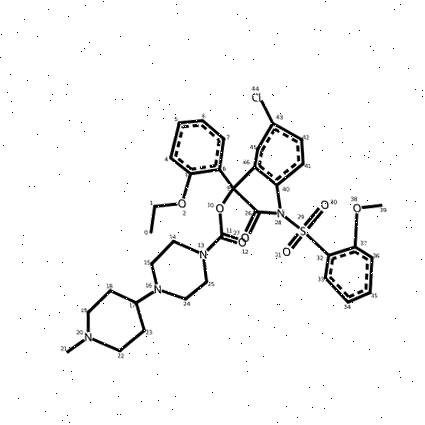 CCOc1ccccc1C1(OC(=O)N2CCN(C3CCN(C)CC3)CC2)C(=O)N(S(=O)(=O)c2ccccc2OC)c2ccc(Cl)cc21